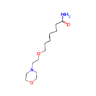 NC(=O)CCCCCCOCCN1CCOCC1